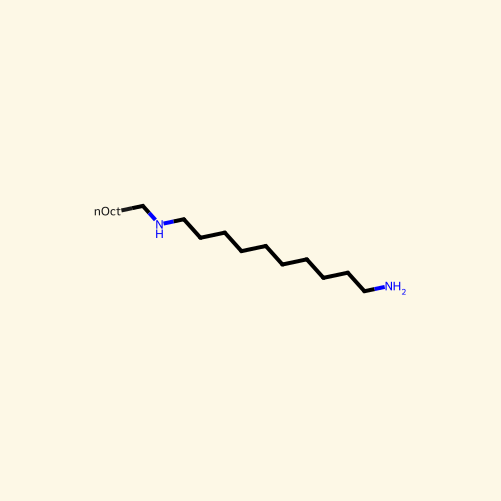 CCCCCCCCCNCCCCCCCCCCN